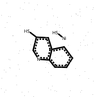 Sc1cnc2ccccc2c1.[SH][Ni]